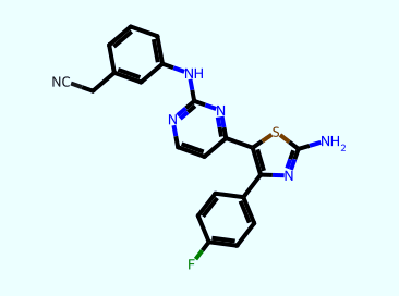 N#CCc1cccc(Nc2nccc(-c3sc(N)nc3-c3ccc(F)cc3)n2)c1